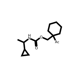 CC(=O)C1(COC(=O)NC(C)C2CC2)CCCCC1